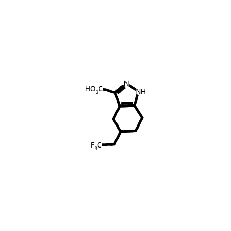 O=C(O)c1n[nH]c2c1CC(CC(F)(F)F)CC2